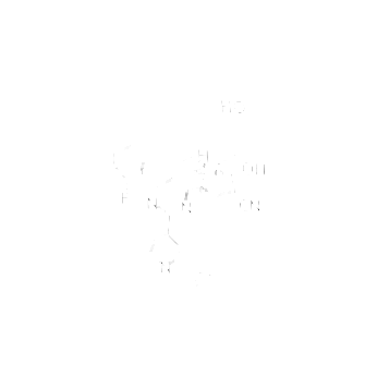 C[C@@]12C=C(C#N)C(O)[C@](C)(CCCO)[C@H]1CCc1c(-c3ccccc3F)nc(-c3ccnc(C4CC4)c3)nc12